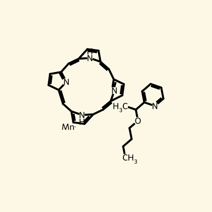 C1=Cc2cc3ccc(cc4nc(cc5ccc(cc1n2)[nH]5)C=C4)[nH]3.CCCCOC(C)c1ccccn1.[Mn]